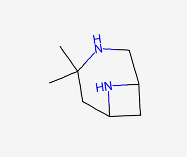 CC1(C)CC2CC(CN1)N2